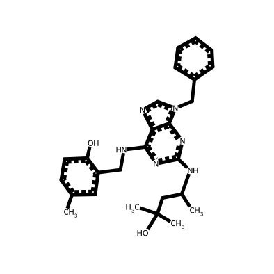 Cc1ccc(O)c(CNc2nc(NC(C)CC(C)(C)O)nc3c2ncn3Cc2ccccc2)c1